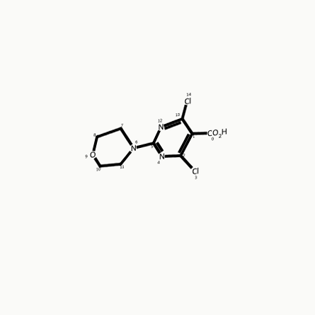 O=C(O)c1c(Cl)nc(N2CCOCC2)nc1Cl